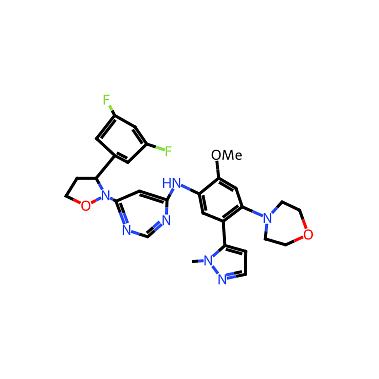 COc1cc(N2CCOCC2)c(-c2ccnn2C)cc1Nc1cc(N2OCCC2c2cc(F)cc(F)c2)ncn1